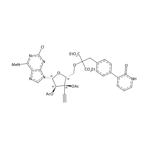 C#C[C@@]1(OC(C)=O)[C@@H](COC(Cc2ccc(-c3ccc[nH]c3=O)cc2)(C(=O)OCC)C(=O)OCC)O[C@@H](n2cnc3c(NC)nc(Cl)nc32)[C@@H]1OC(C)=O